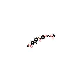 C=COC(=O)c1ccc2c(c1)C(C)c1cc(SC(=O)c3ccc(OCCCOC(=O)C(C)(C)C)cc3)ccc1-2